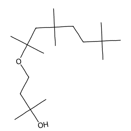 CC(C)(C)CCC(C)(C)CC(C)(C)OCCC(C)(C)O